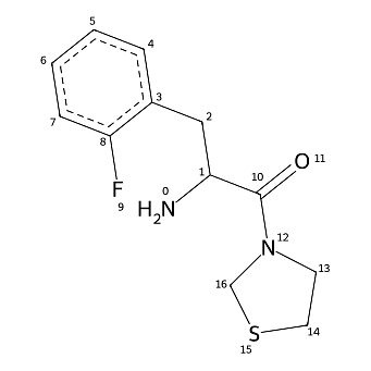 NC(Cc1ccccc1F)C(=O)N1CCSC1